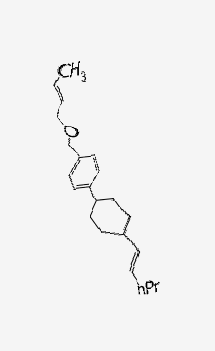 CC=CCOCc1ccc(C2CCC(C=CCCC)CC2)cc1